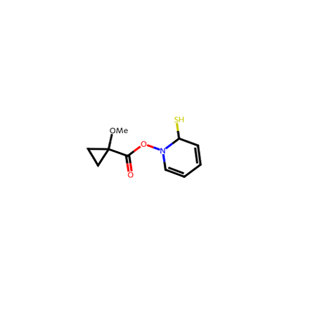 COC1(C(=O)ON2C=CC=CC2S)CC1